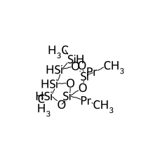 [CH3][Pr][Si]12O[SiH](C)[SiH](O1)[SiH]1O[Si]([Pr][CH3])(O[SiH]1C)O2